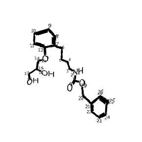 O=C(NCCCCc1ccccc1OCC(O)CO)OCc1ccccc1